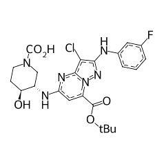 CC(C)(C)OC(=O)c1cc(N[C@H]2CN(C(=O)O)CC[C@@H]2O)nc2c(Cl)c(Nc3cccc(F)c3)nn12